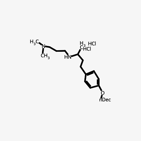 CCCCCCCCCCOc1ccc(CCC(C)NCCCN(C)C)cc1.Cl.Cl